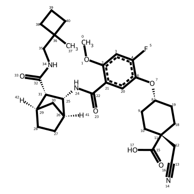 COc1cc(F)c(O[C@H]2CC[C@@](CC#N)(C(=O)O)CC2)cc1C(=O)N[C@@H]1[C@H]2CC[C@H](C2)[C@@H]1C(=O)NCC1(C)CCC1